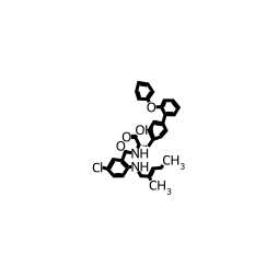 CCC=C(C)CNc1ccc(Cl)cc1C(=O)N[C@@H](Cc1ccc(-c2ccccc2Oc2ccccc2)cc1)C(=O)O